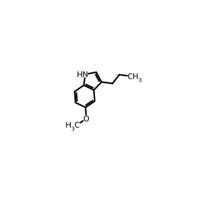 C[CH]Cc1c[nH]c2ccc(OC)cc12